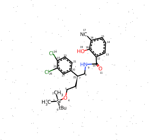 CC(C)(C)[Si](C)(C)OCC[C@H](CNC(=O)c1cccc(C#N)c1O)c1ccc(Cl)c(Cl)c1